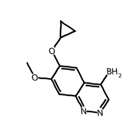 Bc1cnnc2cc(OC)c(OC3CC3)cc12